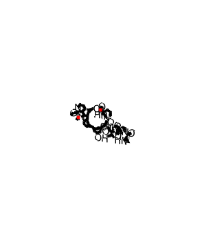 CCn1c(-c2cccnc2[C@H](C)OC)c2c3cc(ccc31)-c1cc(O)cc(c1)C[C@H](NC(=O)[C@H](C(C)C)N1CO[C@@]3(CCN(C(=O)[C@H]4CN4)C3)C1=O)C(=O)N1CCC[C@H](N1)C(=O)OCC(C)(C)C2